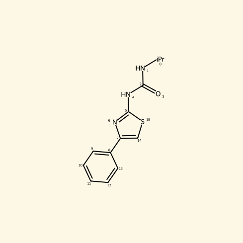 CC(C)NC(=O)Nc1nc(-c2ccccc2)cs1